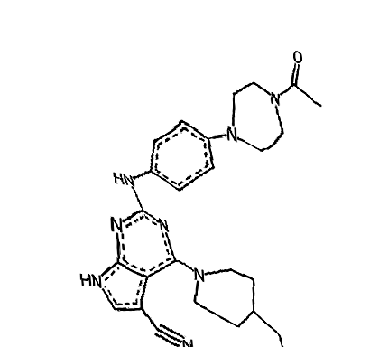 CC(=O)N1CCN(c2ccc(Nc3nc(N4CCC(CN)CC4)c4c(C#N)c[nH]c4n3)cc2)CC1